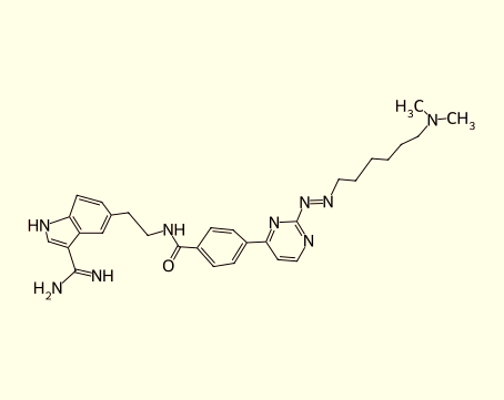 CN(C)CCCCCC/N=N/c1nccc(-c2ccc(C(=O)NCCc3ccc4[nH]cc(C(=N)N)c4c3)cc2)n1